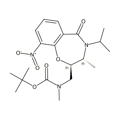 CC(C)N1C(=O)c2cccc([N+](=O)[O-])c2O[C@H](CN(C)C(=O)OC(C)(C)C)[C@H]1C